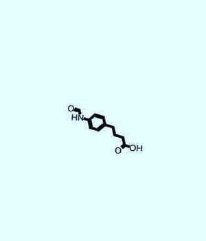 O=CNc1ccc(CCCC(=O)O)cc1